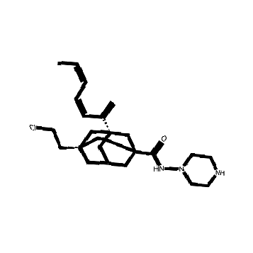 C=C(/C=C\C=C/C)[C@]12CC3CC(C(=O)NN4CCNCC4)(C[C@](CCCl)(C3)C1)C2